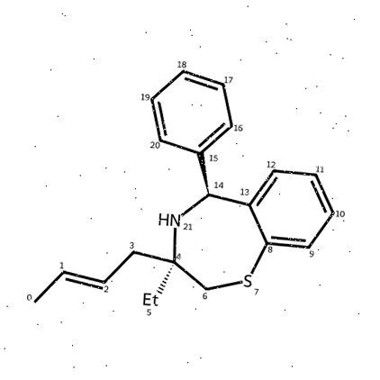 C/C=C/C[C@]1(CC)CSc2ccccc2[C@H](c2ccccc2)N1